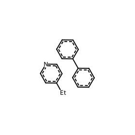 CCc1ccncc1.c1ccc(-c2ccccc2)cc1